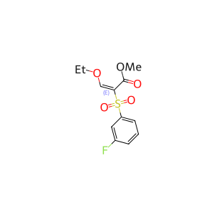 CCO/C=C(\C(=O)OC)S(=O)(=O)c1cccc(F)c1